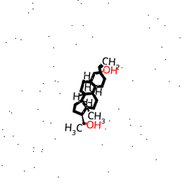 C=C[C@]1(O)CC[C@H]2[C@H](CC[C@@H]3[C@@H]2CC[C@]2(C)[C@@H](C(C)O)CC[C@@H]32)C1